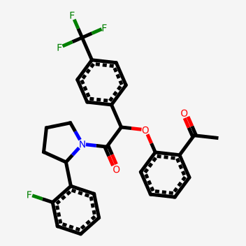 CC(=O)c1ccccc1OC(C(=O)N1CCCC1c1ccccc1F)c1ccc(C(F)(F)F)cc1